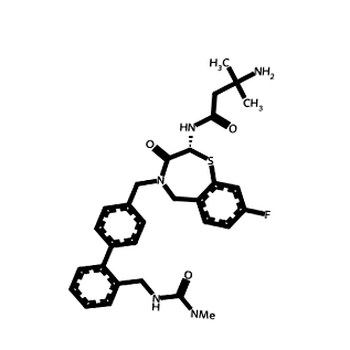 CNC(=O)NCc1ccccc1-c1ccc(CN2Cc3ccc(F)cc3S[C@@H](NC(=O)CC(C)(C)N)C2=O)cc1